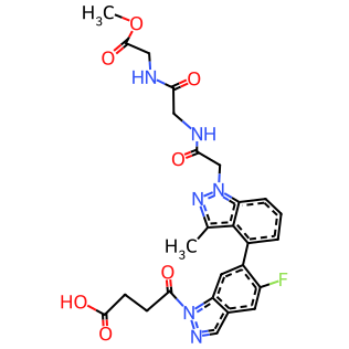 COC(=O)CNC(=O)CNC(=O)Cn1nc(C)c2c(-c3cc4c(cnn4C(=O)CCC(=O)O)cc3F)cccc21